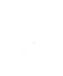 COc1ccc(-c2ccnc3cc(C(=O)N[C@H]4CC[C@H](C(=O)OCCCN5CCOCC5)CC4)nn23)cc1OC